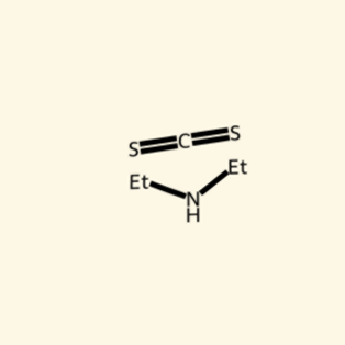 CCNCC.S=C=S